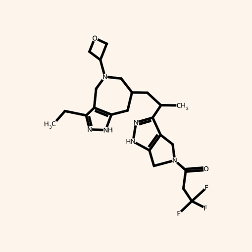 CCc1n[nH]c2c1CN(C1COC1)CC(CC(C)c1n[nH]c3c1CN(C(=O)CC(F)(F)F)C3)C2